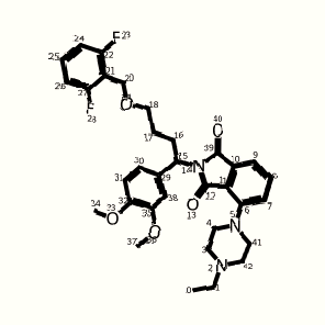 CCN1CCN(c2cccc3c2C(=O)N(C(CCCOCc2c(F)cccc2F)c2ccc(OC)c(OC)c2)C3=O)CC1